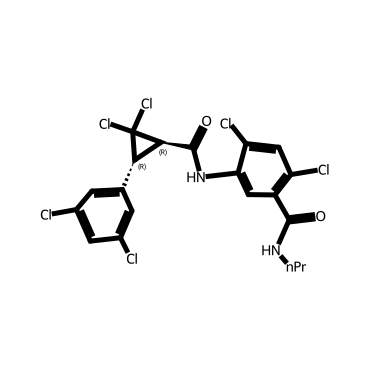 CCCNC(=O)c1cc(NC(=O)[C@H]2[C@H](c3cc(Cl)cc(Cl)c3)C2(Cl)Cl)c(Cl)cc1Cl